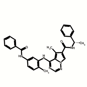 Cc1ccc(NC(=O)c2ccccc2)cc1Nc1ncnn2cc(C(=O)N[C@@H](C)c3ccccc3)c(C)c12